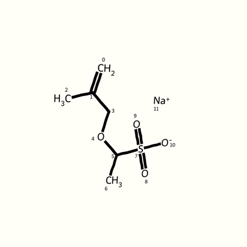 C=C(C)COC(C)S(=O)(=O)[O-].[Na+]